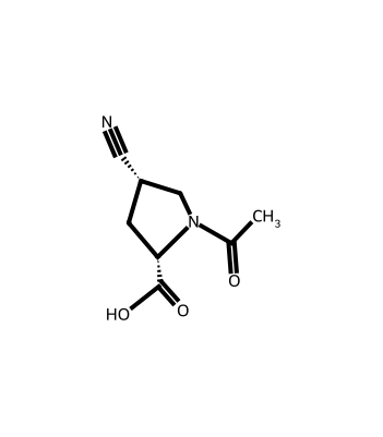 CC(=O)N1C[C@@H](C#N)C[C@H]1C(=O)O